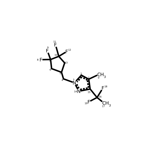 Cc1cn(CC2CC(F)(F)C(F)(F)C2)nc1C(C)(F)F